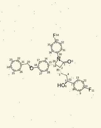 O=C1[C@H](CC[C@H](O)c2ccc(F)cc2)[C@H](c2ccc(OCc3ccccc3)cc2)N1c1ccc(F)cc1